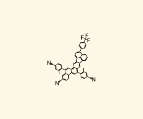 Cc1cc(C#N)ccc1-c1cc2c3cc4c(cc3c(-c3ccc(C#N)cc3C)cc2c2ccc(C#N)cc12)-c1cccc2c(-c3ccc(C(F)(F)F)cc3)ccc-4c12